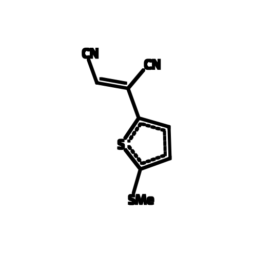 CSc1ccc(C(C#N)=CC#N)s1